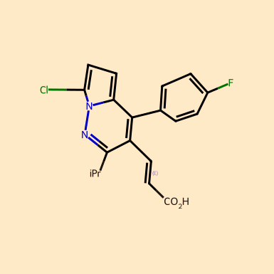 CC(C)c1nn2c(Cl)ccc2c(-c2ccc(F)cc2)c1/C=C/C(=O)O